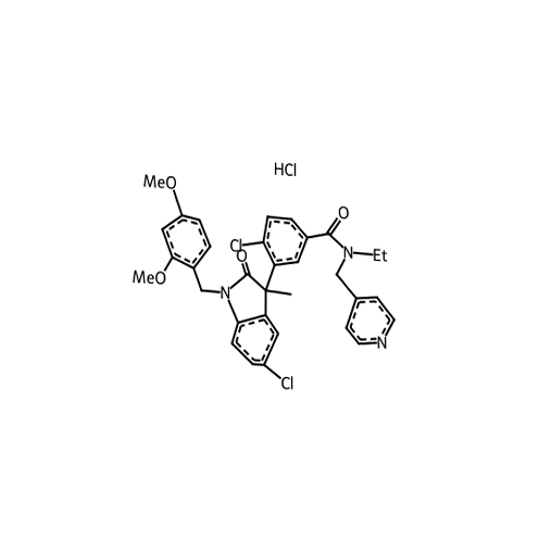 CCN(Cc1ccncc1)C(=O)c1ccc(Cl)c(C2(C)C(=O)N(Cc3ccc(OC)cc3OC)c3ccc(Cl)cc32)c1.Cl